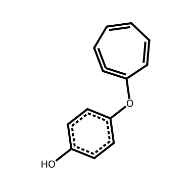 Oc1ccc(OC2=C=CC=CC=C2)cc1